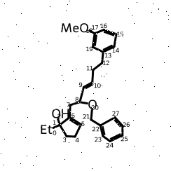 CCC1(O)CCC=C1CC(/C=C/CCc1cccc(OC)c1)OCc1ccccc1